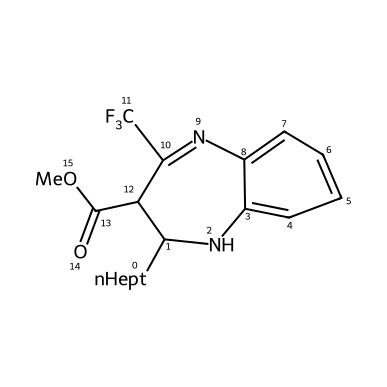 CCCCCCCC1Nc2ccccc2N=C(C(F)(F)F)C1C(=O)OC